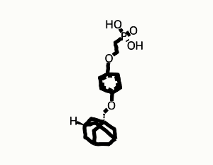 O=P(O)(O)CCOc1ccc(OC[C@]23CC4CC(C[C@H](C4)C2)C3)cc1